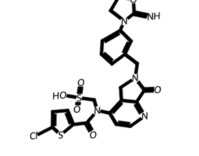 N=C1OCCN1c1cccc(CN2Cc3c(N(CS(=O)(=O)O)C(=O)c4ccc(Cl)s4)ccnc3C2=O)c1